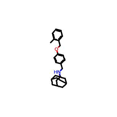 Cc1ccccc1COc1ccc(CNC23CC4CC(CC(C4)C2)C3)cc1